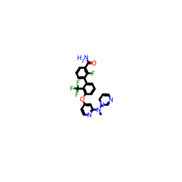 CN(c1cc(Oc2cccc(-c3cccc(C(N)=O)c3F)c2C(F)(F)F)ccn1)N1C=NC=CC1